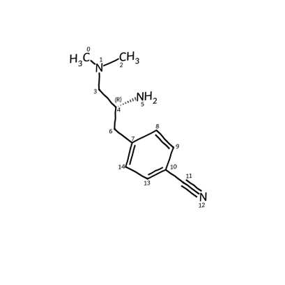 CN(C)C[C@H](N)Cc1ccc(C#N)cc1